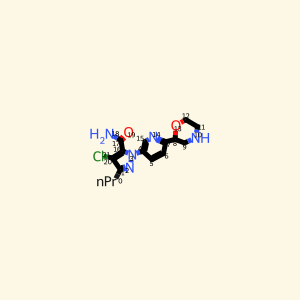 CCCc1nn(-c2ccc(C3CNCCO3)nc2)c(C(N)=O)c1Cl